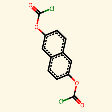 O=C(Cl)Oc1ccc2cc(OC(=O)Cl)ccc2c1